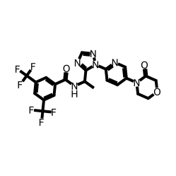 CC(NC(=O)c1cc(C(F)(F)F)cc(C(F)(F)F)c1)c1ncnn1-c1ccc(N2CCOCC2=O)cn1